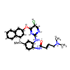 COc1ccc(NC(=O)/C=C/CN(C)C)c(Nc2ncc(Cl)c(Oc3ccc4ccccc4c3)n2)c1